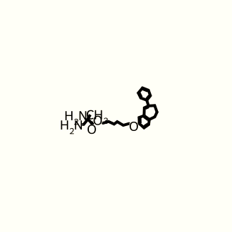 CC(N)(CN)C(=O)OCCCCCCOc1ccc2c(c1)C=C(c1ccccc1)CCC2